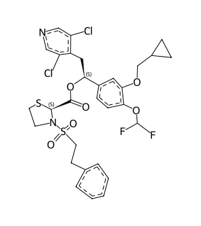 O=C(O[C@@H](Cc1c(Cl)cncc1Cl)c1ccc(OC(F)F)c(OCC2CC2)c1)[C@@H]1SCCN1S(=O)(=O)CCc1ccccc1